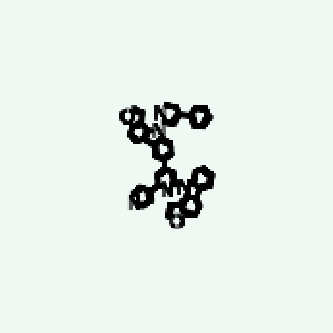 c1ccc(-c2ccnc(-n3c4ccc(-c5cc(-c6ccncc6)nc(-n6c7ccccc7c7ccc8occc8c76)c5)cc4c4ccc5occc5c43)c2)cc1